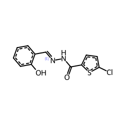 O=C(N/N=C/c1ccccc1O)c1ccc(Cl)s1